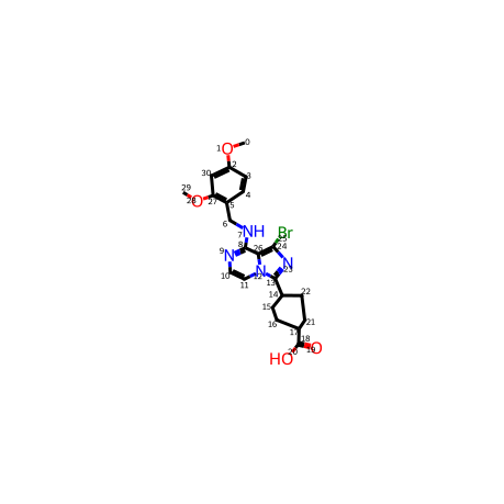 COc1ccc(CNc2nccn3c(C4CCC(C(=O)O)CC4)nc(Br)c23)c(OC)c1